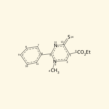 CCOC(=O)c1cn(C)c(-c2ccccc2)nc1=S